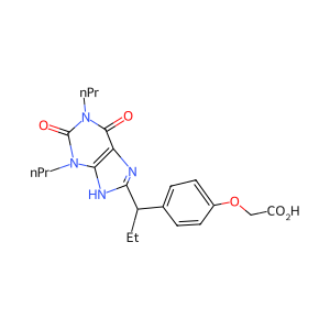 CCCn1c(=O)c2nc(C(CC)c3ccc(OCC(=O)O)cc3)[nH]c2n(CCC)c1=O